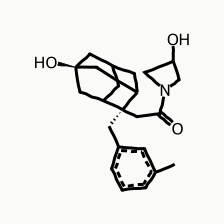 Cc1cccc(C[C@]2(CC(=O)N3CC(O)C3)C3CC4CC2C[C@@](O)(C4)C3)c1